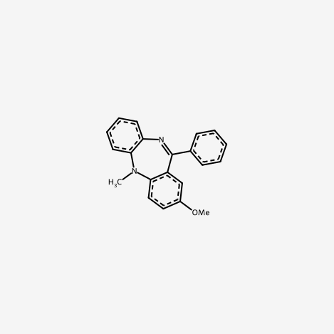 COc1ccc2c(c1)C(c1ccccc1)=Nc1ccccc1N2C